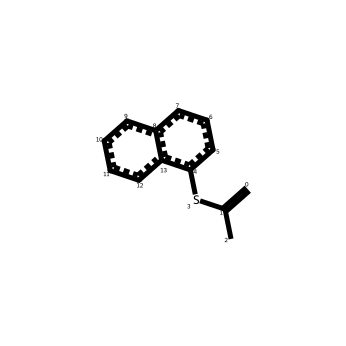 C=C(C)Sc1cccc2ccccc12